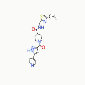 Cc1csc(CNC(=O)C2CCN(C(=O)c3cc(-c4ccncc4)[nH]n3)CC2)n1